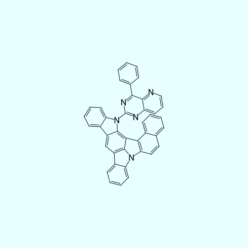 c1ccc(-c2nc(-n3c4ccccc4c4cc5c6ccccc6n6c7ccc8ccccc8c7c(c43)c56)nc3cccnc23)cc1